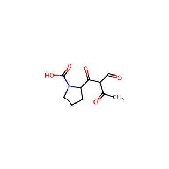 CC(=O)C(C=O)C(=O)C1CCCN1C(=O)O